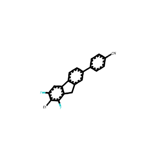 CCc1c(F)cc2c(c1F)Cc1cc(-c3ccc(C#N)cc3)ccc1-2